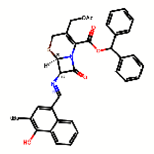 CC(=O)OCC1=C(C(=O)OC(c2ccccc2)c2ccccc2)N2C(=O)[C@@H](/N=C/c3cc(C(C)(C)C)c(O)c4ccccc34)[C@H]2SC1